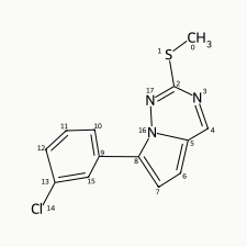 CSc1ncc2ccc(-c3cccc(Cl)c3)n2n1